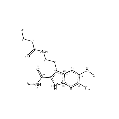 CCCC(=O)NCCc1c(C(=O)NC)[nH]c2cc(F)c(OC)cc12